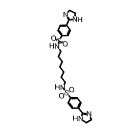 O=S(=O)(NCCCCCCCNS(=O)(=O)c1ccc(C2=NCCN2)cc1)c1ccc(C2=NCCN2)cc1